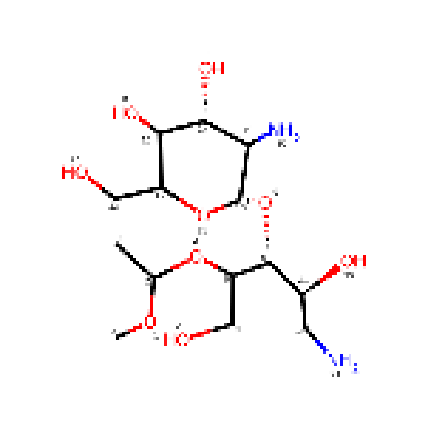 COC(C)OC(CO)[C@H](O[C@@H]1OC(CO)C(O)[C@H](O)C1N)[C@@H](O)CN